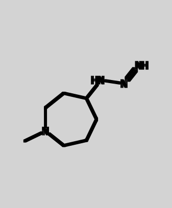 CN1CCCC(NN=N)CC1